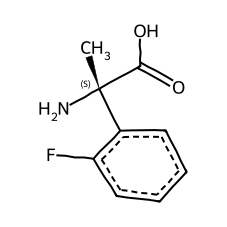 C[C@@](N)(C(=O)O)c1ccccc1F